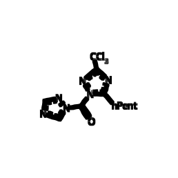 CCCCCc1nc(C(Cl)(Cl)Cl)nn1C(=O)n1cncn1